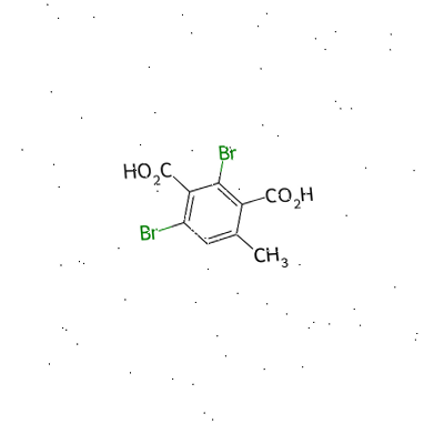 Cc1cc(Br)c(C(=O)O)c(Br)c1C(=O)O